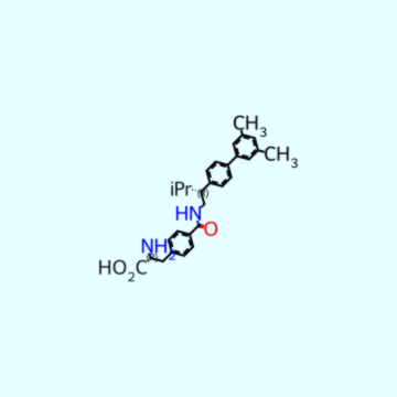 Cc1cc(C)cc(-c2ccc([C@H](CNC(=O)c3ccc(C[C@@H](N)C(=O)O)cc3)C(C)C)cc2)c1